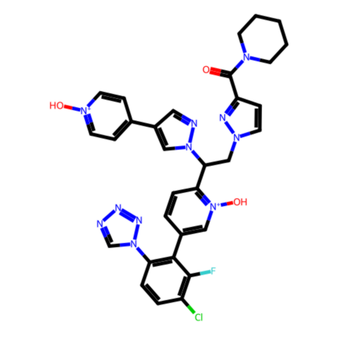 O=C(c1ccn(CC(c2ccc(-c3c(-n4cnnn4)ccc(Cl)c3F)c[n+]2O)n2cc(-c3cc[n+](O)cc3)cn2)n1)N1CCCCC1